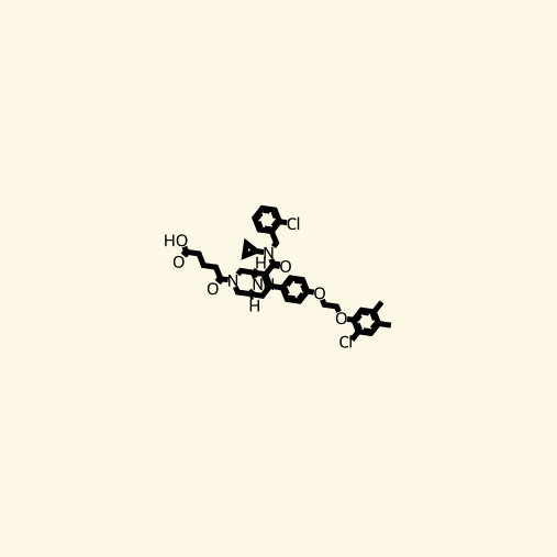 Cc1cc(Cl)c(OCCOc2ccc(C3=C(C(=O)N(Cc4ccccc4Cl)C4CC4)[C@H]4CN(C(=O)CCCC(=O)O)C[C@@H](C3)N4)cc2)cc1C